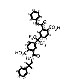 CC(C)(CNC(=O)c1cc(C(c2ccc(C(=O)O)c(C(=O)Nc3ccccc3)c2)(C(F)(F)F)C(F)(F)F)ccc1C(=O)O)c1ccccc1